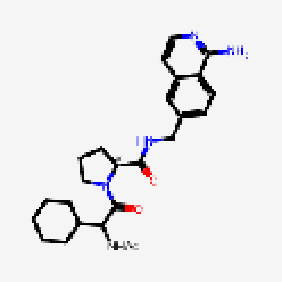 CC(=O)NC(C(=O)N1CCC[C@H]1C(=O)NCc1ccc2c(N)nccc2c1)C1CCCCC1